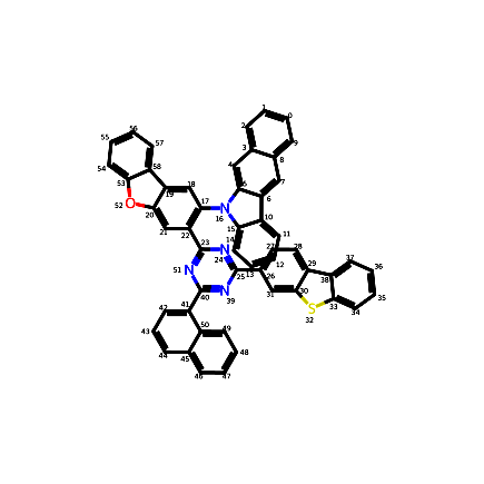 c1ccc2cc3c(cc2c1)c1ccccc1n3-c1cc2c(cc1-c1nc(-c3ccc4c(c3)sc3ccccc34)nc(-c3cccc4ccccc34)n1)oc1ccccc12